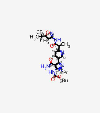 CC(C(=O)Nc1cc(C(C)(C)C(F)(F)F)on1)c1ccc(-c2nn(C(C)C)c(NC(=O)OC(C)(C)C)c2C(N)=O)cn1